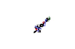 CC#CC(=O)N1CCCC1c1nc(-c2ccc(C(=O)Nc3cc(C(F)(F)F)ccn3)cc2)c2c(C)nccn12